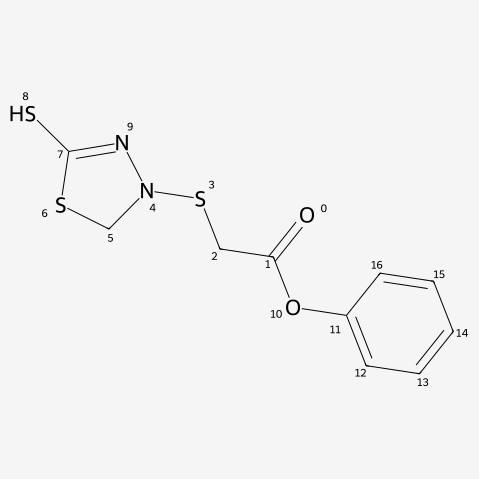 O=C(CSN1CSC(S)=N1)Oc1ccccc1